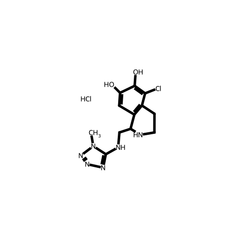 Cl.Cn1nnnc1NCC1NCCc2c1cc(O)c(O)c2Cl